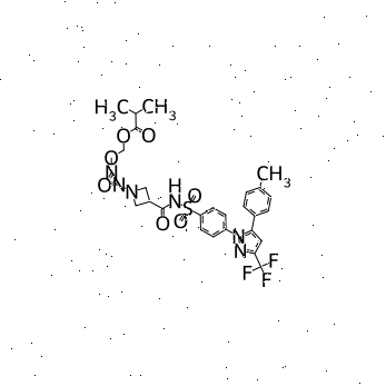 Cc1ccc(-c2cc(C(F)(F)F)nn2-c2ccc(S(=O)(=O)NC(=O)C3CN(n4on4OCOC(=O)C(C)C)C3)cc2)cc1